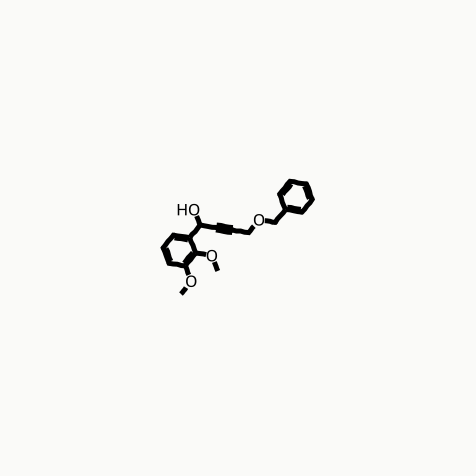 COc1cccc(C(O)C#CCOCc2ccccc2)c1OC